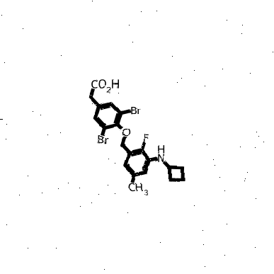 Cc1cc(COc2c(Br)cc(CC(=O)O)cc2Br)c(F)c(NC2CCC2)c1